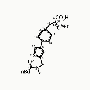 CCCCC(=O)N(C)Cc1cc(-c2ccc(C[C@H](OCC)C(=O)O)cc2)cs1